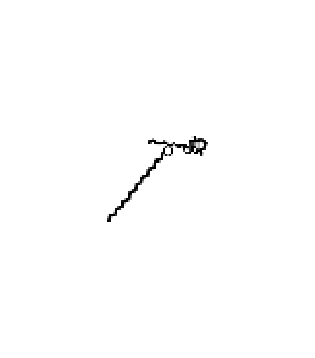 CCCCCCCCCCCCCCCCCCOC(CCCC)CCCON1C(C)(C)CCCC1(C)C